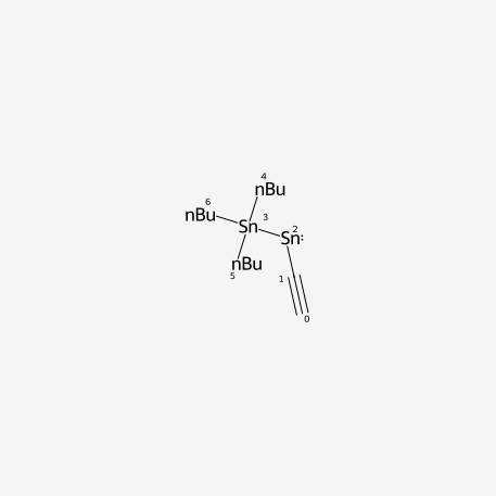 C#[C][Sn][Sn]([CH2]CCC)([CH2]CCC)[CH2]CCC